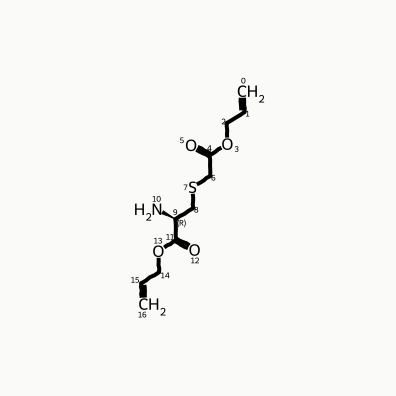 C=CCOC(=O)CSC[C@H](N)C(=O)OCC=C